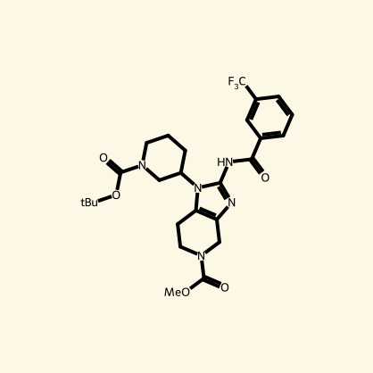 COC(=O)N1CCc2c(nc(NC(=O)c3cccc(C(F)(F)F)c3)n2C2CCCN(C(=O)OC(C)(C)C)C2)C1